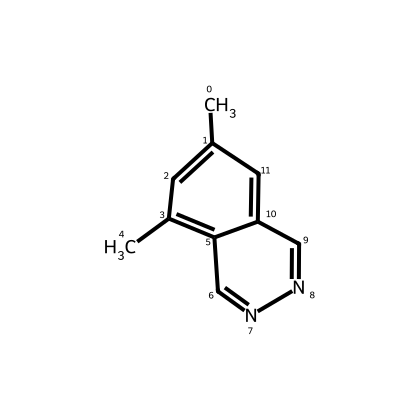 Cc1cc(C)c2cnncc2c1